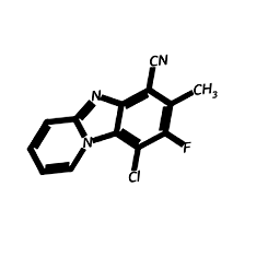 Cc1c(F)c(Cl)c2c(nc3ccccn32)c1C#N